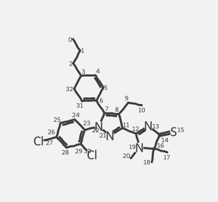 CCCC1C=CC(c2c(CC)c(C3=NC(=S)C(C)(C)N3C)nn2-c2ccc(Cl)cc2Cl)=CC1